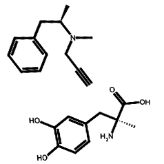 C#CCN(C)[C@H](C)Cc1ccccc1.C[C@](N)(Cc1ccc(O)c(O)c1)C(=O)O